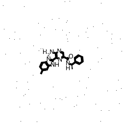 Cc1ccc2nc(-c3nc(C(=O)N[C@H](C)c4ccccc4)cnc3N)[nH]c2c1